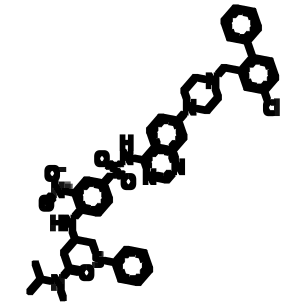 CC(C)N(C)C(=O)CC(CSc1ccccc1)Nc1ccc(S(=O)(=O)Nc2ncnc3cc(N4CCN(Cc5cc(Cl)ccc5-c5ccccc5)CC4)ccc23)cc1[N+](=O)[O-]